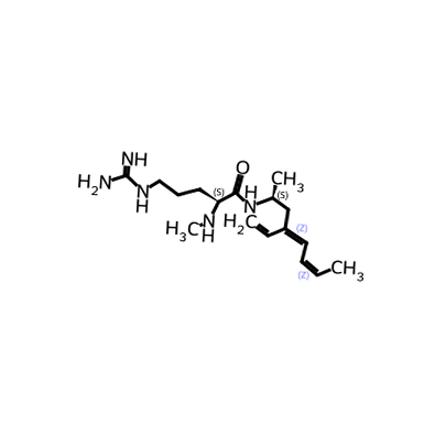 C=C/C(=C\C=C/C)C[C@H](C)NC(=O)[C@H](CCCNC(=N)N)NC